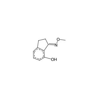 CON=C1CCc2cccc(O)c21